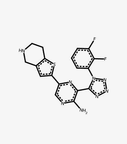 Nc1ncc(-c2cc3c(s2)CCNC3)nc1-c1nnnn1-c1cccc(F)c1F